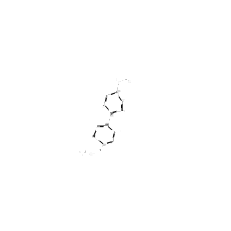 COc1ccc(-c2ccc(CC(=O)O)cc2)cc1